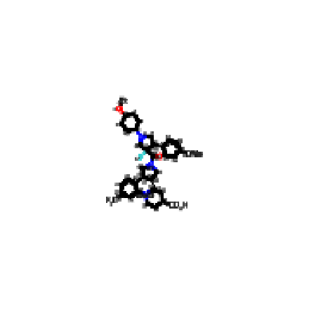 CCO[C@H]1CC[C@@H](N2C[C@@H](c3ccc(OC)cc3)[C@](F)(C(=O)N3C[C@H](COC)[C@@H](c4ccc(C(F)(F)F)cc4N4CCC(C(=O)O)CC4)C3)C2)CC1